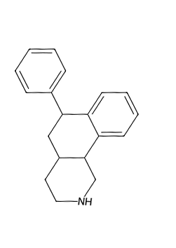 c1ccc(C2CC3CCNCC3c3ccccc32)cc1